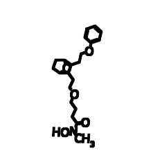 CN(O)C(=O)CCCOCCC1C2CCC(O2)C1CCOc1ccccc1